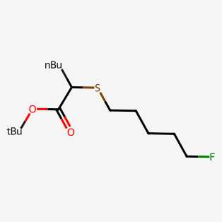 CCCCC(SCCCCCF)C(=O)OC(C)(C)C